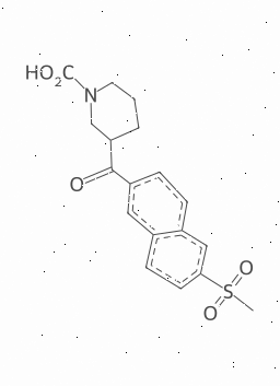 CS(=O)(=O)c1ccc2cc(C(=O)C3CCCN(C(=O)O)C3)ccc2c1